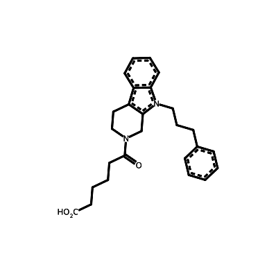 O=C(O)CCCCC(=O)N1CCc2c(n(CCCc3ccccc3)c3ccccc23)C1